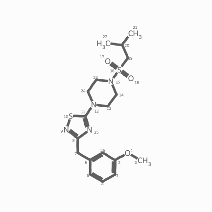 COc1cccc(Cc2nsc(N3CCN(S(=O)(=O)CC(C)C)CC3)n2)c1